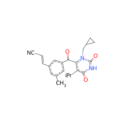 Cc1cc(C=CC#N)cc(C(=O)c2c(C(C)C)c(=O)[nH]c(=O)n2CC2CC2)c1